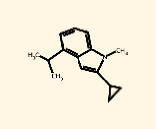 CC(C)c1cccc2c1cc(C1CC1)n2C